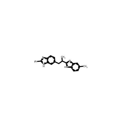 Cc1ccc2[nH]c(C(C)Cc3ccc4nc(C(C)C)[nH]c4c3)nc2c1